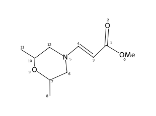 COC(=O)/C=C/N1CC(C)OC(C)C1